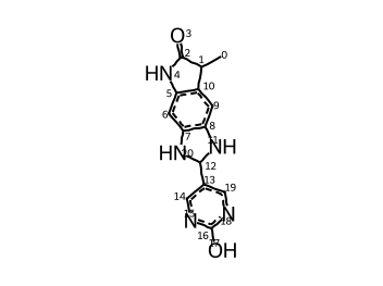 CC1C(=O)Nc2cc3c(cc21)NC(c1cnc(O)nc1)N3